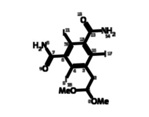 COC(Cc1c(I)c(C(N)=O)c(I)c(C(N)=O)c1I)OC